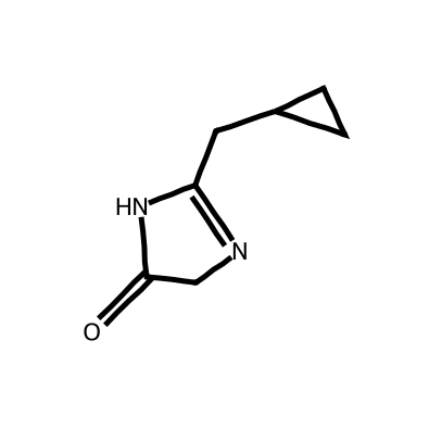 O=C1CN=C(CC2CC2)N1